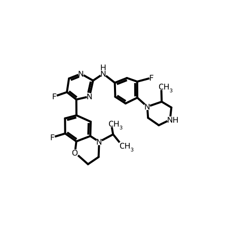 CC(C)N1CCOc2c(F)cc(-c3nc(Nc4ccc(N5CCNCC5C)c(F)c4)ncc3F)cc21